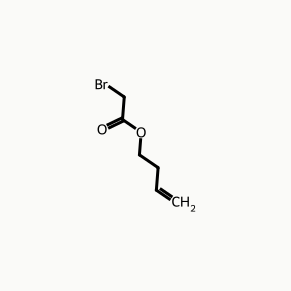 C=CCCOC(=O)CBr